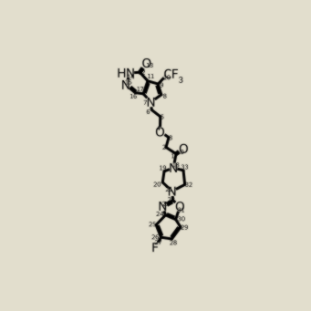 O=C(CCOCCn1cc(C(F)(F)F)c2c(=O)[nH]ncc21)N1CCN(c2nc3cc(F)ccc3o2)CC1